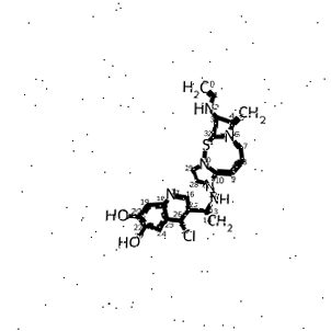 C=CNC1C(=C)N2CC=C=C3N(NC(=C)C4C=Nc5cc(O)c(O)cc5C4Cl)CCN3SC12